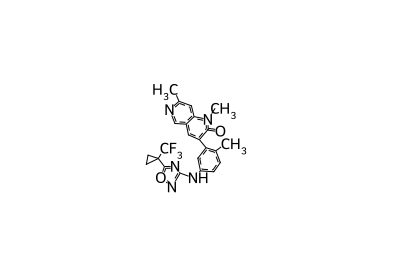 Cc1cc2c(cn1)cc(-c1cc(Nc3noc(C4(C(F)(F)F)CC4)n3)ccc1C)c(=O)n2C